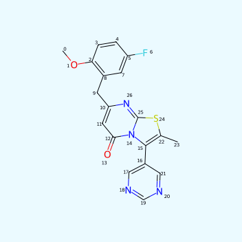 COc1ccc(F)cc1Cc1cc(=O)n2c(-c3cncnc3)c(C)sc2n1